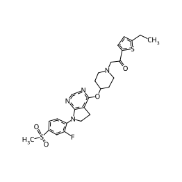 CCc1ccc(C(=O)CN2CCC(Oc3ncnc4c3CCN4c3ccc(S(C)(=O)=O)cc3F)CC2)s1